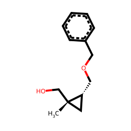 C[C@]1(CO)C[C@H]1COCc1ccccc1